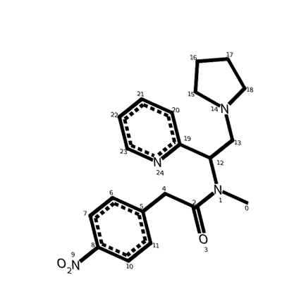 CN(C(=O)Cc1ccc([N+](=O)[O-])cc1)C(CN1CCCC1)c1ccccn1